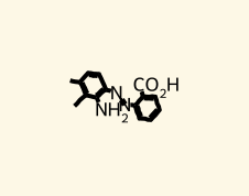 Cc1ccc(N=Nc2ccccc2C(=O)O)c(N)c1C